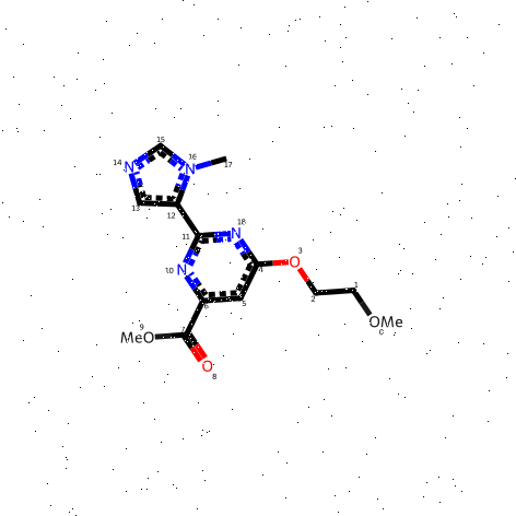 COCCOc1cc(C(=O)OC)nc(-c2cncn2C)n1